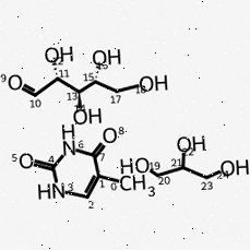 Cc1c[nH]c(=O)[nH]c1=O.O=C[C@H](O)[C@H](O)[C@H](O)CO.OCC(O)CO